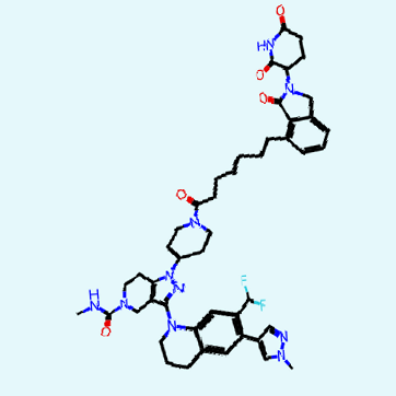 CNC(=O)N1CCc2c(c(N3CCCc4cc(-c5cnn(C)c5)c(C(F)F)cc43)nn2C2CCN(C(=O)CCCCCCc3cccc4c3C(=O)N(C3CCC(=O)NC3=O)C4)CC2)C1